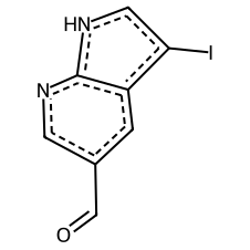 O=Cc1cnc2[nH]cc(I)c2c1